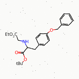 CCOC(=O)CNC(Cc1ccc(OCc2ccccc2)cc1)C(=O)OC(C)(C)C